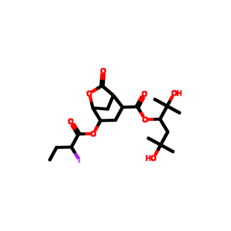 CCC(I)C(=O)OC1CC(C(=O)OC(CC(C)(C)O)C(C)(C)O)C2CC1OC2=O